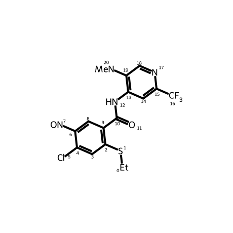 CCSc1cc(Cl)c(N=O)cc1C(=O)Nc1cc(C(F)(F)F)ncc1NC